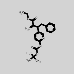 C=C(C(=O)OCC)C(Cc1ccccc1)c1ccc(NC(=O)OC(C)(C)C)nc1